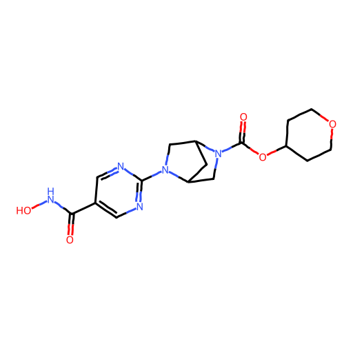 O=C(NO)c1cnc(N2CC3CC2CN3C(=O)OC2CCOCC2)nc1